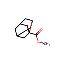 COC(=O)C12CC3CC(CC(C3)O1)C2